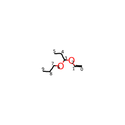 C=COC(CC)OCCC